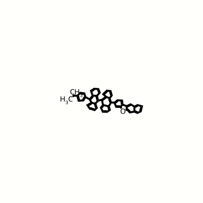 CC(C)c1ccc(-c2c3ccccc3c(-c3c4ccccc4c(-c4ccc5c(c4)oc4cc6ccccc6cc45)c4ccccc34)c3ccccc23)cc1